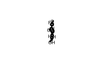 COc1ccc(-c2cc(=O)n3cc(N4C[C@H]5CN(CCO)C[C@H]5C4)ccc3n2)cc1F